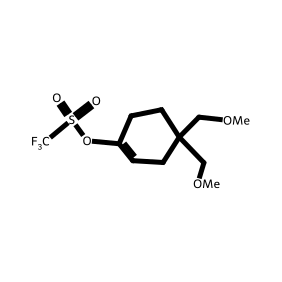 COCC1(COC)CC=C(OS(=O)(=O)C(F)(F)F)CC1